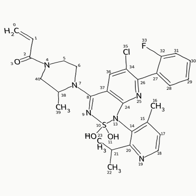 C=CC(=O)N1CCN(C2=NS(O)(O)N(c3c(C)ccnc3C(C)C)c3nc(-c4ccccc4F)c(Cl)cc32)C(C)C1